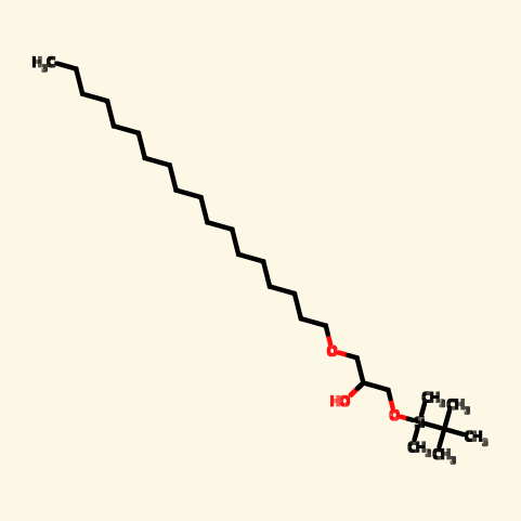 CCCCCCCCCCCCCCCCCCOCC(O)CO[Si](C)(C)C(C)(C)C